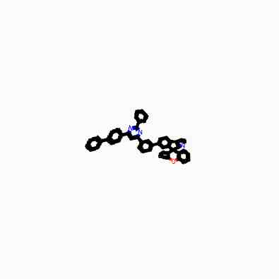 c1ccc(-c2ccc(-c3cc(-c4cccc(-c5ccc6c(c5)C5(c7ccccc7Oc7ccccc75)c5ncccc5-6)c4)nc(-c4ccccc4)n3)cc2)cc1